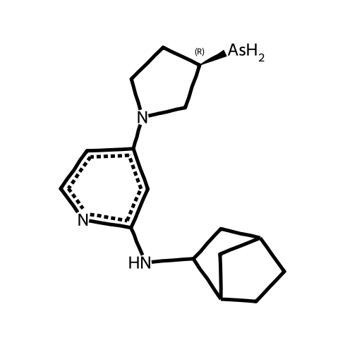 [AsH2][C@@H]1CCN(c2ccnc(NC3CC4CCC3C4)c2)C1